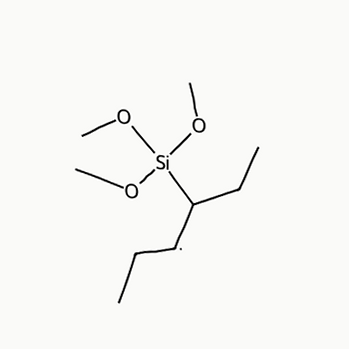 CC[CH]C(CC)[Si](OC)(OC)OC